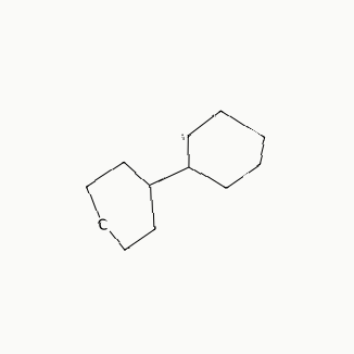 [C]1CCCCC1C1CCCCC1